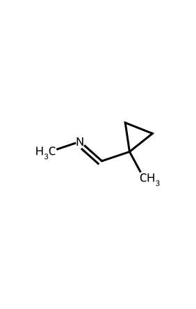 CN=CC1(C)CC1